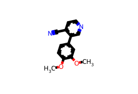 COc1ccc(-c2cnccc2C#N)cc1OC